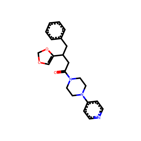 O=C(CC(Cc1ccccc1)C1=COCO1)N1CCN(c2ccncc2)CC1